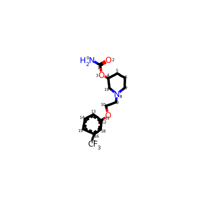 NC(=O)OC1CCCN(CCOc2cccc(C(F)(F)F)c2)C1